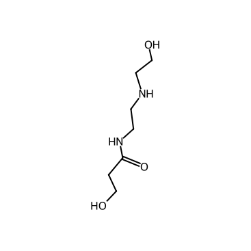 O=C(CCO)NCCNCCO